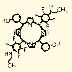 CCNc1c(F)c(F)c(-c2c3nc(c(-c4cccc(O)c4)c4ccc([nH]4)c(-c4c(F)c(F)c(NCCO)c(F)c4F)c4nc(c(-c5cccc(O)c5)c5ccc2[nH]5)C=C4)C=C3)c(F)c1F